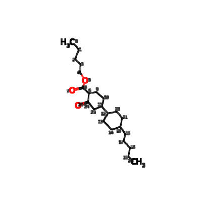 CCCCCOC(=O)C1CCC(C2CCC(CCCCC)CC2)CC1=O